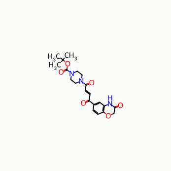 CC(C)(C)OC(=O)N1CCN(C(=O)/C=C/C(=O)c2ccc3c(c2)NC(=O)CO3)CC1